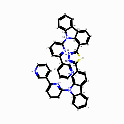 C1=C(c2cccnc2)N=C(n2c3ccccc3c3ccc(-c4nnc(-c5cccc6c7ccccc7n(-c7cccc(-c8cccnc8)n7)c56)s4)cc32)CC1